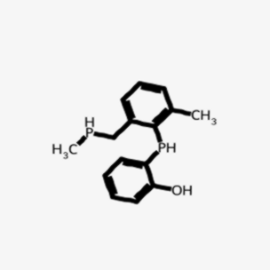 CPCc1cccc(C)c1Pc1ccccc1O